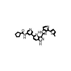 Cc1ccc(-c2nccc3[nH]c(-c4n[nH]c5ccc(-c6cncc(NC(=O)C7CCCC7)c6)nc45)nc23)s1